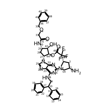 N[C@@H]1CCN(c2nc(NCC(c3ccccc3)c3ccccc3)c3ncn([C@@H]4C[C@H](NC(=O)COCc5ccccc5)[C@@H](O)[C@H]4OC(=O)C(F)(F)F)c3n2)C1